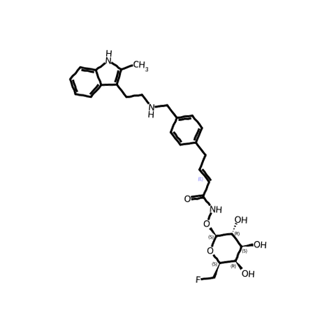 Cc1[nH]c2ccccc2c1CCNCc1ccc(C/C=C/C(=O)NO[C@@H]2O[C@H](CF)[C@H](O)[C@H](O)[C@H]2O)cc1